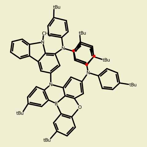 Cn1c2ccccc2c2cc(N3c4ccc(C(C)(C)C)cc4B4c5cc(C(C)(C)C)ccc5Oc5cc(N(c6ccc(C(C)(C)C)cc6)c6ccc(C(C)(C)C)cc6)cc3c54)cc(N(c3ccc(C(C)(C)C)cc3)c3ccc(C(C)(C)C)cc3)c21